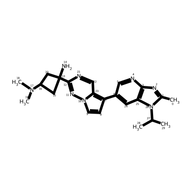 Cc1nc2ncc(-c3ccn4nc(C5(N)CC(N(C)C)C5)ncc34)cc2n1C(C)C